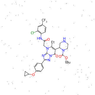 CCc1c(C2CNCCN2C(=O)OC(C)(C)C)c(=O)n2nc(-c3ccc(OC4CC4)cc3)nc2n1CC(=O)Nc1ccc(C(F)(F)F)cc1Cl